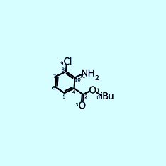 CCC(C)OC(=O)c1cccc(Cl)c1N